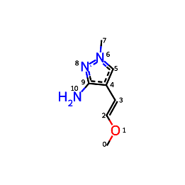 CO/C=C/c1cn(C)nc1N